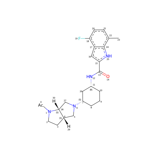 CC(=O)N1CC[C@H]2CN([C@H]3CCC[C@@H](NC(=O)c4cc5c(F)ccc(C)c5[nH]4)C3)C[C@H]21